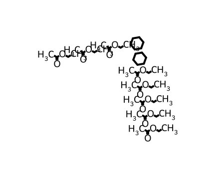 C1CCCCC1.C1CCCCC1.CCOC(C)=O.CCOC(C)=O.CCOC(C)=O.CCOC(C)=O.CCOC(C)=O.CCOC(C)=O.CCOC(C)=O.CCOC(C)=O